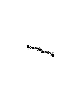 C=C/C(=C\C=C(/C)c1ccc(-c2ccc(-c3cc4ccc5c6ccc7c(ccc8cc(-c9ccc(-c%10ccc(-c%11ccc(-c%12scc%13ccccc%12%13)cc%11)cc%10)cc9)sc87)c6ccc5c4s3)cc2)cc1)c1scc2ccccc12